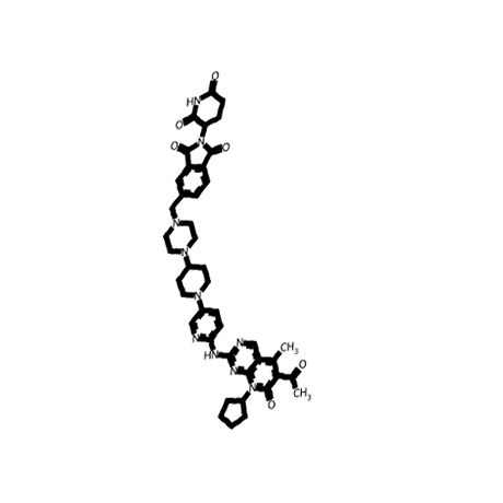 CC(=O)c1c(C)c2cnc(Nc3ccc(N4CCC(N5CCN(Cc6ccc7c(c6)C(=O)N(C6CCC(=O)NC6=O)C7=O)CC5)CC4)cn3)nc2n(C2CCCC2)c1=O